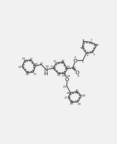 O=C(OCc1ccccc1)c1ccc(NCc2ccccc2)cc1OCc1ccccc1